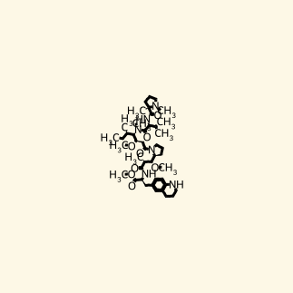 CC[C@H](C)[C@@H]([C@@H](CC(=O)N1CCC[C@H]1[C@H](OC)[C@@H](C)C(=O)N[C@@H](Cc1ccc2c(c1)CCCN2)C(=O)OC)OC)N(C)C(=O)[C@@H](NC(=O)[C@@]1(C)CCCN1C)C(C)C